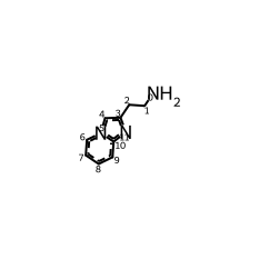 NCCc1cn2ccccc2n1